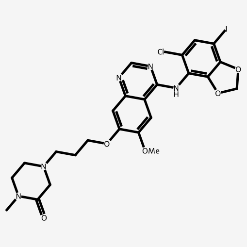 COc1cc2c(Nc3c(Cl)cc(I)c4c3OCO4)ncnc2cc1OCCCN1CCN(C)C(=O)C1